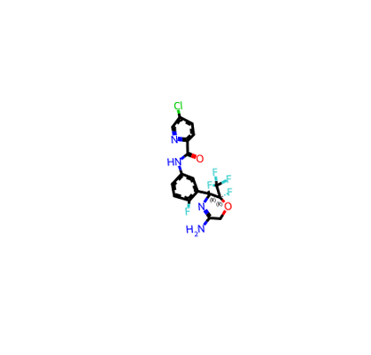 C[C@]1(c2cc(NC(=O)c3ccc(Cl)cn3)ccc2F)N=C(N)CO[C@]1(F)C(F)(F)F